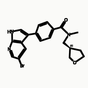 CN(C[C@H]1CCOC1)C(=O)c1ccc(-c2c[nH]c3ncc(Br)cc23)cc1